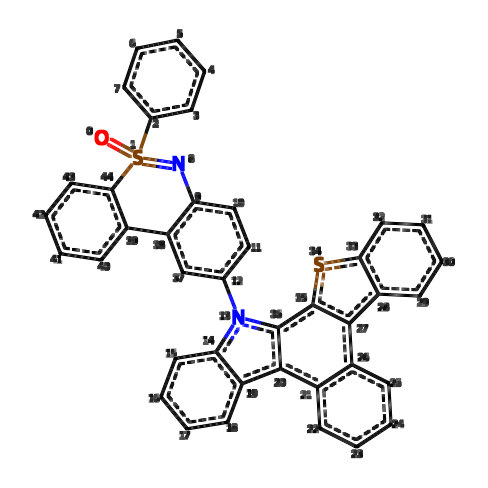 O=S1(c2ccccc2)=Nc2ccc(-n3c4ccccc4c4c5ccccc5c5c6ccccc6sc5c43)cc2-c2ccccc21